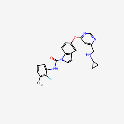 O=C(Nc1cccc(C(F)(F)F)c1F)n1ccc2cc(Oc3cc(CNC4CC4)ncn3)ccc21